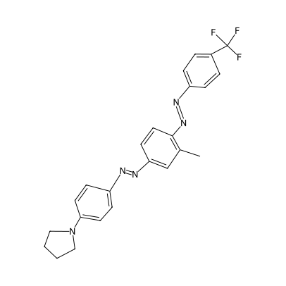 Cc1cc(/N=N/c2ccc(N3CCCC3)cc2)ccc1/N=N/c1ccc(C(F)(F)F)cc1